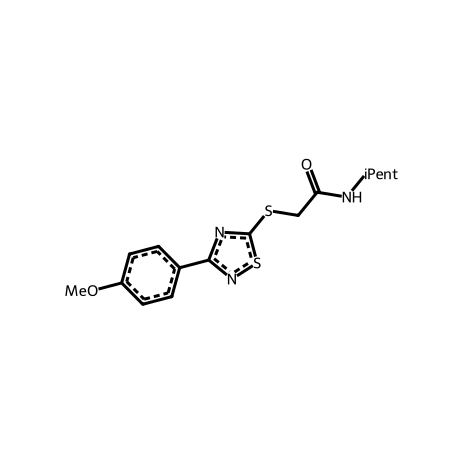 CCCC(C)NC(=O)CSc1nc(-c2ccc(OC)cc2)ns1